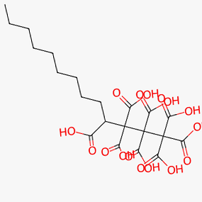 CCCCCCCCCC(C(=O)O)C(C(=O)O)(C(=O)O)C(C(=O)O)(C(=O)O)C(C(=O)O)(C(=O)O)C(=O)O